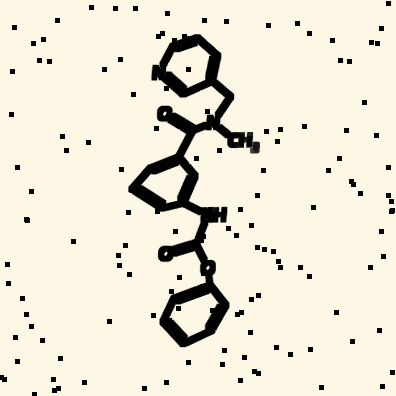 CN(Cc1cccnc1)C(=O)c1cccc(NC(=O)Oc2ccccc2)c1